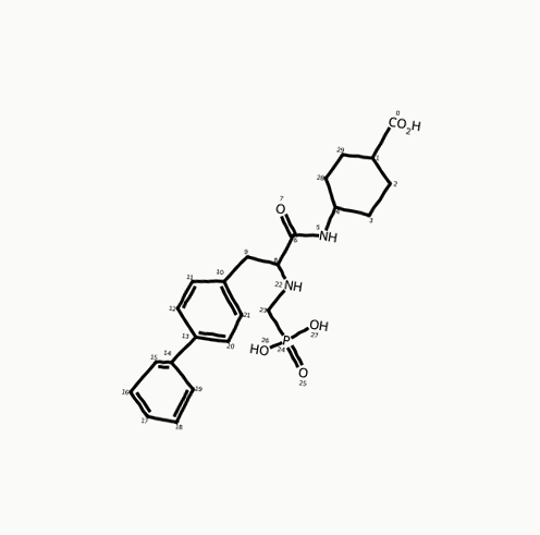 O=C(O)C1CCC(NC(=O)C(Cc2ccc(-c3ccccc3)cc2)NCP(=O)(O)O)CC1